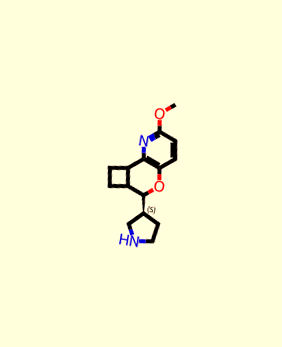 COc1ccc2c(n1)C1CCC1C([C@H]1CCNC1)O2